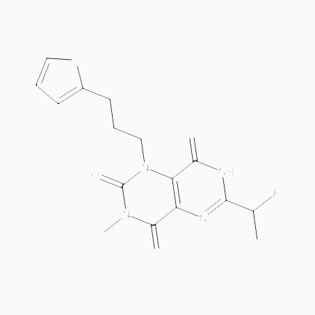 CC(F)c1nc2c(=O)n(C)c(=O)n(CCCc3cccs3)c2c(=O)[nH]1